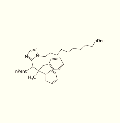 CCCCCCCCCCCCCCCCCCCn1ccnc1C(CCCCC)C(C)(Cc1ccccc1)c1ccccc1